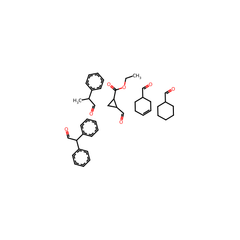 CC(C=O)c1ccccc1.CCOC(=O)C1CC1C=O.O=CC(c1ccccc1)c1ccccc1.O=CC1CC=CCC1.O=CC1CCCCC1